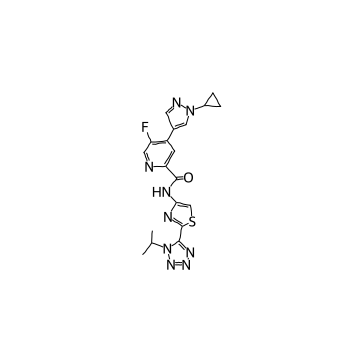 CC(C)n1nnnc1-c1nc(NC(=O)c2cc(-c3cnn(C4CC4)c3)c(F)cn2)cs1